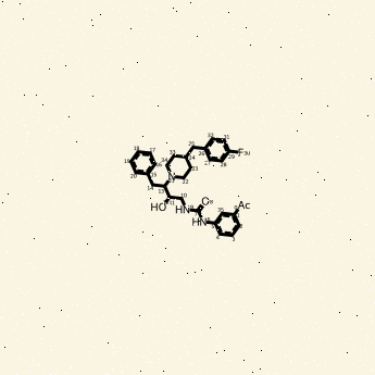 CC(=O)c1cccc(NC(=O)NCC(O)C(Cc2ccccc2)N2CCC(Cc3ccc(F)cc3)CC2)c1